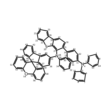 c1ccc(N(c2ccccc2)c2ccc(-c3ccc4c(sc5ccccc54)c3N(c3ccccc3)c3ccc4c(c3)-c3ccccc3C43c4ccccc4Oc4ccccc43)cc2)cc1